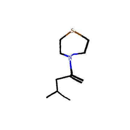 C=C(CC(C)C)N1CCSCC1